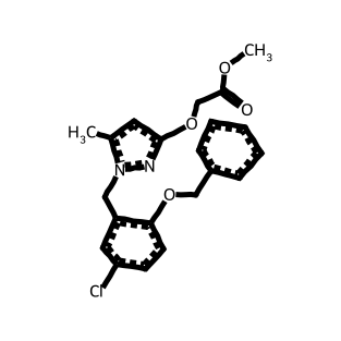 COC(=O)COc1cc(C)n(Cc2cc(Cl)ccc2OCc2ccccc2)n1